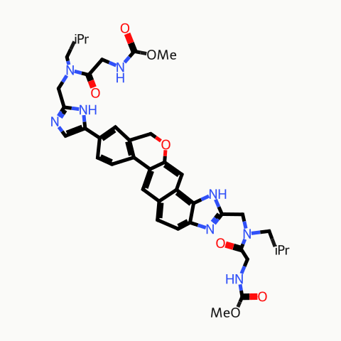 COC(=O)NCC(=O)N(Cc1ncc(-c2ccc3c(c2)COc2cc4c(ccc5nc(CN(CC(C)C)C(=O)CNC(=O)OC)[nH]c54)cc2-3)[nH]1)CC(C)C